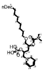 CCCCCCCCCCCCCCCCCCOCC(CC(C[n+]1ccccc1)OP(=O)(O)O)OC(=O)N(C)C